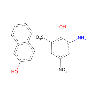 Nc1cc([N+](=O)[O-])cc(S(=O)(=O)O)c1O.Oc1ccc2ccccc2c1